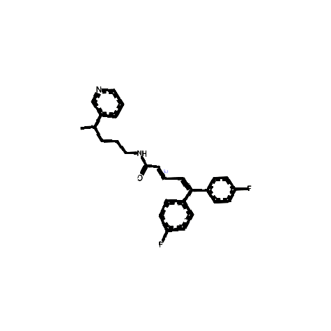 CC(CCCNC(=O)/C=C/C=C(c1ccc(F)cc1)c1ccc(F)cc1)c1cccnc1